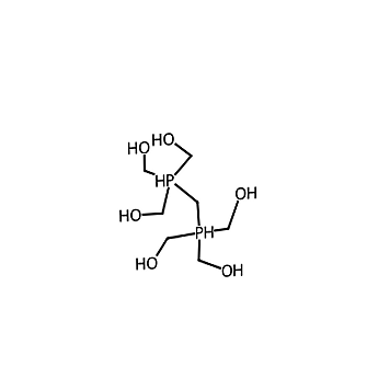 OC[PH](CO)(CO)C[PH](CO)(CO)CO